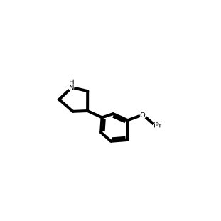 CC(C)Oc1cccc(C2CCNC2)c1